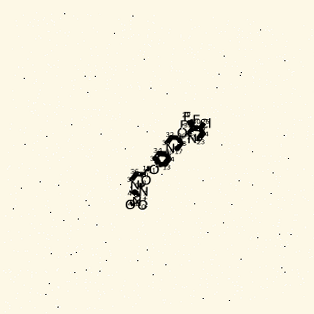 O=[N+]([O-])c1cn2c(n1)O[C@H](COc1ccc(N3CCC(Oc4nccc(Cl)c4C(F)(F)F)CC3)cc1)CC2